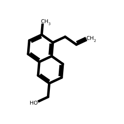 C=CCc1c(C)ccc2cc(CO)ccc12